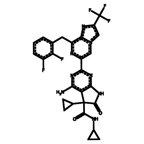 Nc1nc(-c2cn3cc(C(F)(F)F)nc3c(Cc3cccc(F)c3F)n2)nc2c1C(C(=O)NC1CC1)(C1CC1)C(=O)N2